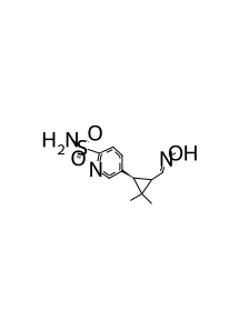 CC1(C)C(C=NO)[C@@H]1c1ccc(S(N)(=O)=O)nc1